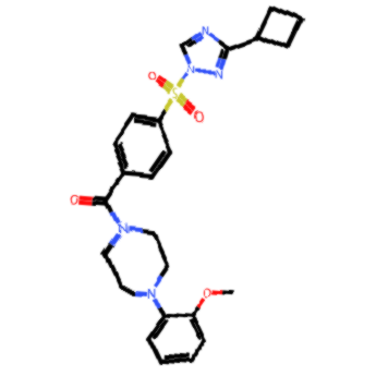 COc1ccccc1N1CCN(C(=O)c2ccc(S(=O)(=O)n3cnc(C4CCC4)n3)cc2)CC1